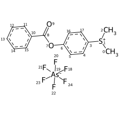 C[S+](C)c1ccc(OC(=O)c2ccccc2)cc1.F[As-](F)(F)(F)(F)F